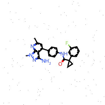 Cc1cc(-c2ccc(NC(=O)C3(c4cccc(F)c4)CC3)cc2)c2c(N)nn(C)c2n1